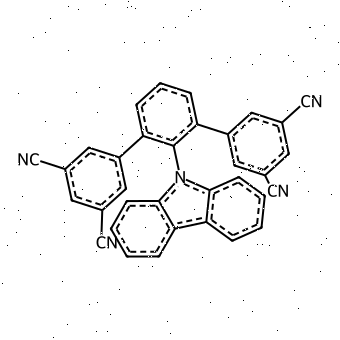 N#Cc1cc(C#N)cc(-c2cccc(-c3cc(C#N)cc(C#N)c3)c2-n2c3ccccc3c3ccccc32)c1